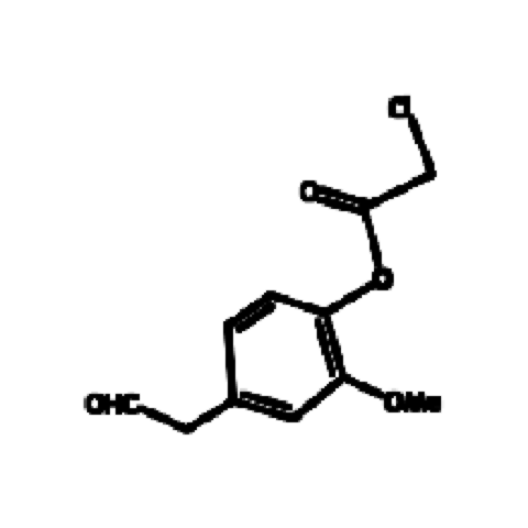 COc1cc(CC=O)ccc1OC(=O)CCl